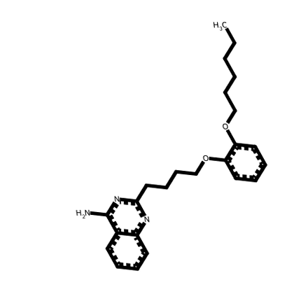 CCCCCCOc1ccccc1OCCCCc1nc(N)c2ccccc2n1